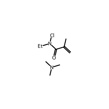 C=C(C)C(=O)N(Cl)CC.CN(C)C